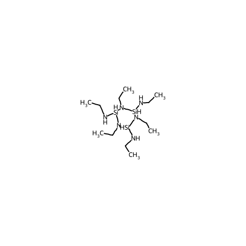 CCN[SiH]1N(CC)[SiH](NCC)N(CC)[SiH](NCC)N1CC